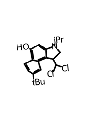 CC(C)N1CC(C(Cl)Cl)c2c1cc(O)c1ccc(C(C)(C)C)cc21